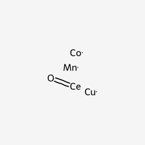 [Co].[Cu].[Mn].[O]=[Ce]